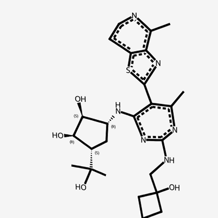 Cc1nc(NCC2(O)CCC2)nc(N[C@@H]2C[C@H](C(C)(C)O)[C@@H](O)[C@H]2O)c1-c1nc2c(C)nccc2s1